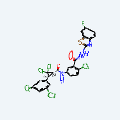 O=C(Nc1nc2ccc(F)cc2s1)c1cc(NC(=O)[C@@H]2[C@@H](c3cc(Cl)cc(Cl)c3)C2(Cl)Cl)ccc1Cl